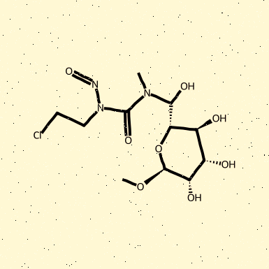 CO[C@H]1O[C@H](C(O)N(C)C(=O)N(CCCl)N=O)[C@@H](O)[C@H](O)[C@@H]1O